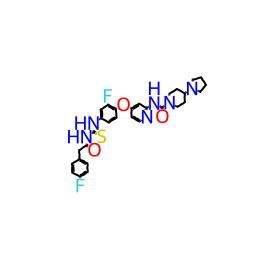 O=C(Cc1ccc(F)cc1)NC(=S)Nc1ccc(Oc2ccnc(NC(=O)N3CCC(N4CCCC4)CC3)c2)c(F)c1